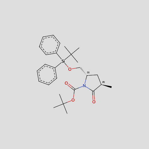 C[C@@H]1C[C@@H](CO[Si](c2ccccc2)(c2ccccc2)C(C)(C)C)N(C(=O)OC(C)(C)C)C1=O